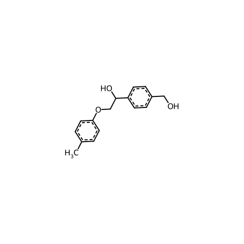 Cc1ccc(OCC(O)c2ccc(CO)cc2)cc1